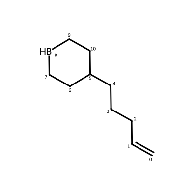 C=CCCCC1CCBCC1